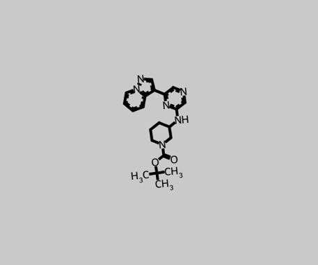 CC(C)(C)OC(=O)N1CCCC(Nc2cncc(-c3cnn4ccccc34)n2)C1